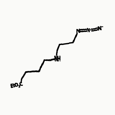 CCOC(=O)CCCNCCN=[N+]=[N-]